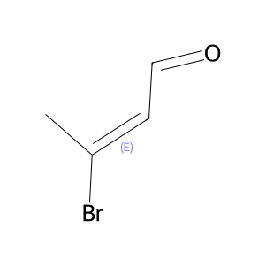 C/C(Br)=C\C=O